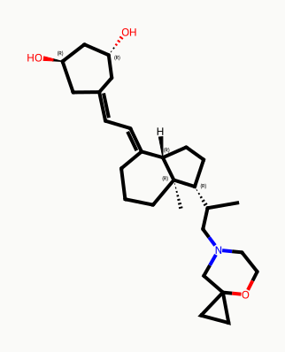 CC(CN1CCOC2(CC2)C1)[C@H]1CC[C@H]2C(=CC=C3C[C@@H](O)C[C@H](O)C3)CCC[C@]12C